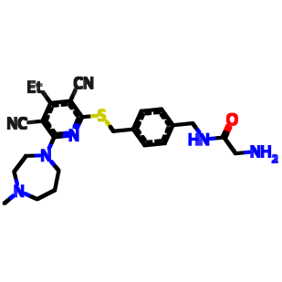 CCc1c(C#N)c(SCc2ccc(CNC(=O)CN)cc2)nc(N2CCCN(C)CC2)c1C#N